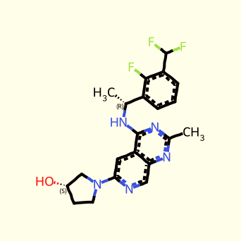 Cc1nc(N[C@H](C)c2cccc(C(F)F)c2F)c2cc(N3CC[C@H](O)C3)ncc2n1